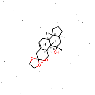 C[C@@]12CCC[C@H]1[C@@H]1CC=C3CC4(OCCO4)C4(C[C@]3(C)[C@H]1[C@@](C)(O)C2)OCCO4